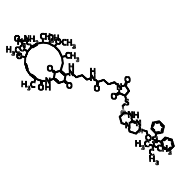 COC1C=CC=C(C)C(=O)NC2=CC(=O)C(NCCCNC(=O)CCCN3C(=O)CC(SC[C@H]4CCN5CC[C@H](CO[Si](c6ccccc6)(c6ccccc6)C(C)(C)C)N=C5N4)C3=O)=C(CC(C)CC(OC)C(O)C(C)C=C(C)C1OC(N)=O)C2=O